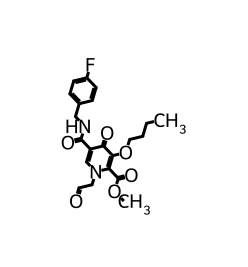 CCCCOc1c(C(=O)OC)n(CC=O)cc(C(=O)NCc2ccc(F)cc2)c1=O